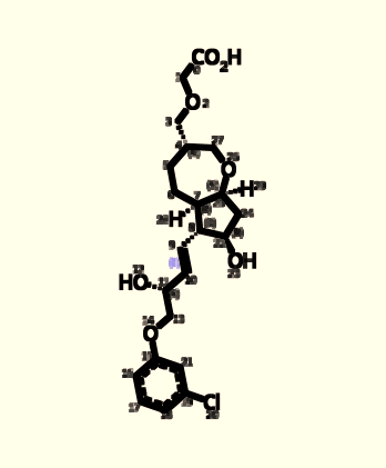 O=C(O)COC[C@H]1CC[C@@H]2[C@@H](/C=C/[C@@H](O)COc3cccc(Cl)c3)[C@H](O)C[C@@H]2OC1